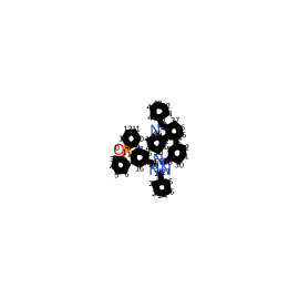 O=P(c1ccccc1)(c1ccccc1)c1ccc(-c2nc(-c3ccccc3)nc(-c3cccc(-c4cccc5c(-c6ccccc6)nc6ccccc6c45)c3)n2)cc1